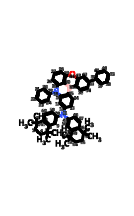 CC1(C)CCC(C)(C)c2cc(N(c3ccc4c(c3)N(c3ccccc3)c3cccc5c3B4c3ccc(-c4ccccc4)cc3O5)c3ccc4c(c3)C(C)(C)CCC4(C)C)ccc21